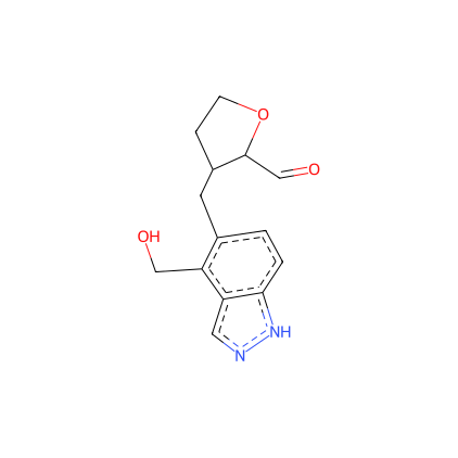 O=CC1OCCC1Cc1ccc2[nH]ncc2c1CO